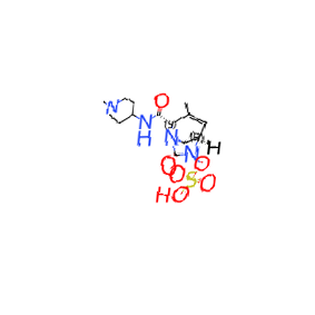 CC1=C[C@@H]2CN(C(=O)N2OS(=O)(=O)O)[C@@H]1C(=O)NC1CCN(C)CC1